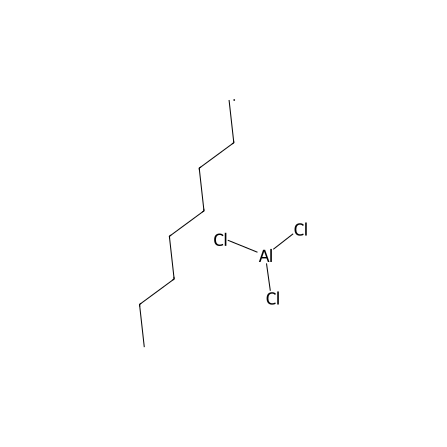 [CH2]CCCCCCC.[Cl][Al]([Cl])[Cl]